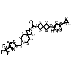 O=C(N1CC2(CCN(Cc3nc(C(F)(F)F)cs3)CC2)C1)N1CC2(CC(c3cc(C4CC4)n[nH]3)C2)C1